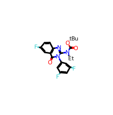 CCN(C(=O)OC(C)(C)C)c1nc2ccc(F)cc2c(=O)n1-c1cc(F)cc(F)c1